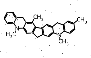 Cc1ccc2c(c1)Cc1cc3c(cc1N2C)Cc1cc2c(c(C)c1-3)Cc1ccccc1N2C